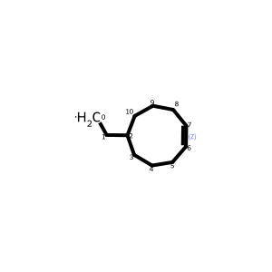 [CH2]CC1CCC/C=C\CCC1